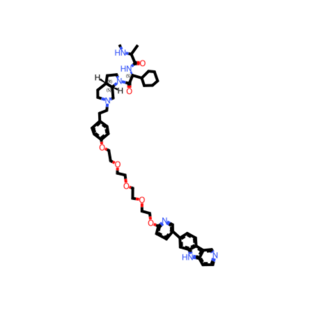 CNC(C)C(=O)N[C@H](C(=O)N1CC[C@H]2CCN(CCc3ccc(OCCOCCOCCOCCOc4ccc(-c5ccc6c(c5)[nH]c5ccncc56)cn4)cc3)C[C@H]21)C1CCCCC1